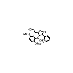 COc1ccc(OC)c(N(C)C2C(CCO)CNC2c2ccccc2)c1